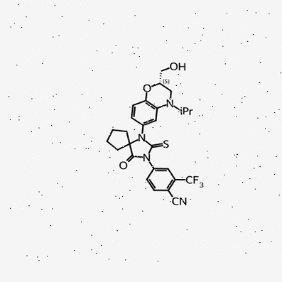 CC(C)N1C[C@@H](CO)Oc2ccc(N3C(=S)N(c4ccc(C#N)c(C(F)(F)F)c4)C(=O)C34CCCC4)cc21